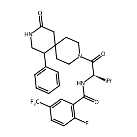 CC(C)[C@@H](NC(=O)c1cc(C(F)(F)F)ccc1F)C(=O)N1CCC2(CC1)CC(=O)NCC2c1ccccc1